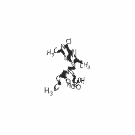 CCOC(=O)CN(CCn1c(CC)nc2c(Cl)nc(CC)nc21)CCP(=O)(O)O